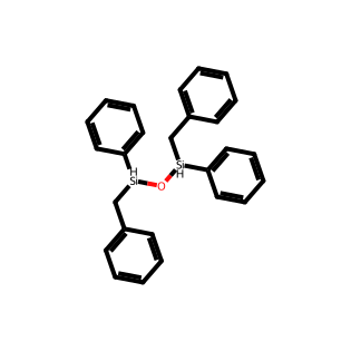 c1ccc(C[SiH](O[SiH](Cc2ccccc2)c2ccccc2)c2ccccc2)cc1